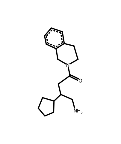 NCC(CC(=O)N1CCc2ccccc2C1)C1CCCC1